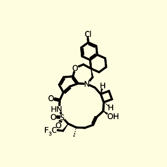 C[C@H]1C/C=C/[C@H](O)[C@@H]2CC[C@H]2CN2C[C@@]3(CCCc4cc(Cl)ccc43)COc3ccc(cc32)C(=O)NS(=O)(=O)[C@@H]1CC(F)(F)F